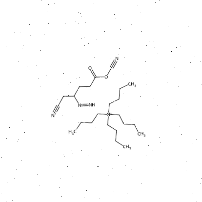 CCCC[N+](CCCC)(CCCC)CCCC.N#CCC(CCC(=O)OC#N)N=N